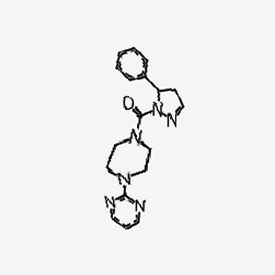 O=C(N1CCN(c2ncccn2)CC1)N1N=CCC1c1ccccc1